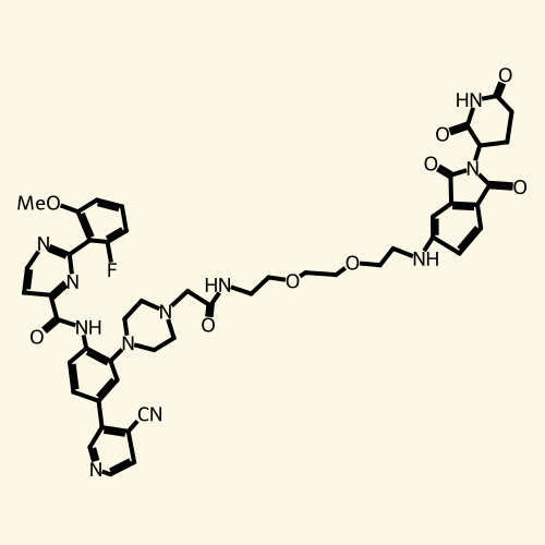 COc1cccc(F)c1-c1nccc(C(=O)Nc2ccc(-c3cnccc3C#N)cc2N2CCN(CC(=O)NCCOCCOCCNc3ccc4c(c3)C(=O)N(C3CCC(=O)NC3=O)C4=O)CC2)n1